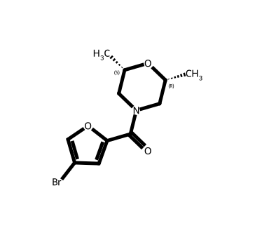 C[C@@H]1CN(C(=O)c2cc(Br)co2)C[C@H](C)O1